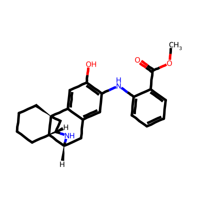 COC(=O)c1ccccc1Nc1cc2c(cc1O)[C@@]13CCCC[C@H]1[C@@H](C2)NCC3